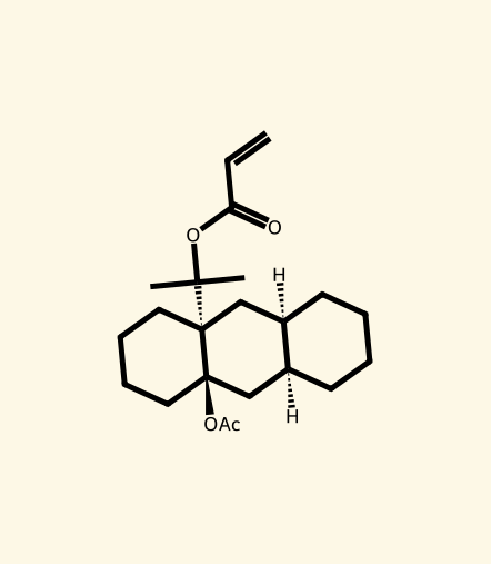 C=CC(=O)OC(C)(C)[C@@]12CCCC[C@@]1(OC(C)=O)C[C@@H]1CCCC[C@@H]1C2